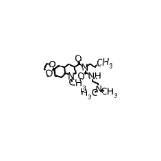 CCCN(C(=O)NCCN(C)C)C(=O)C1CC2CC3(CCC2N(C)C1)OCCO3